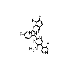 Nc1nc(-c2nc(Cc3c(F)ccc(F)c3F)n3cc(F)ccc23)ncc1-c1ccncc1F